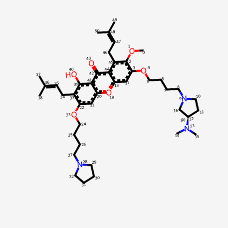 COc1c(OCCCCN2CC[C@@H](N(C)C)C2)cc2oc3cc(OCCCCN4CCCC4)c(CC=C(C)C)c(O)c3c(=O)c2c1CC=C(C)C